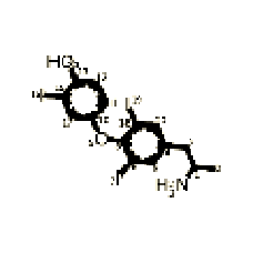 CC(N)Cc1cc(I)c(Oc2ccc(O)c(I)c2)c(I)c1